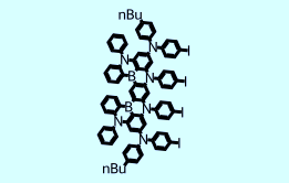 CCCCc1ccc(N(c2ccc(I)cc2)c2cc3c4c(c2)N(c2ccc(I)cc2)c2cc5c(cc2B4c2ccccc2N3c2ccccc2)B2c3ccccc3N(c3ccccc3)c3cc(N(c4ccc(I)cc4)c4ccc(CCCC)cc4)cc(c32)N5c2ccc(I)cc2)cc1